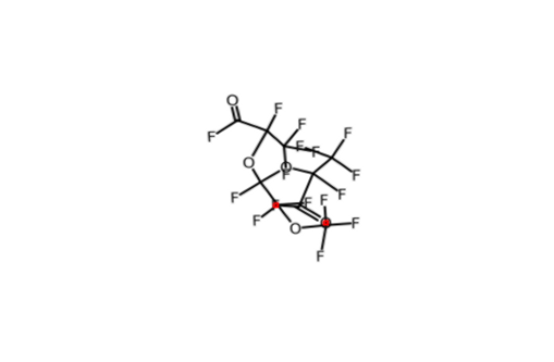 O=C(F)C(F)(OC(F)(OC(F)(C(=O)F)C(F)(F)F)C(F)(F)OC(F)(F)F)C(F)(F)F